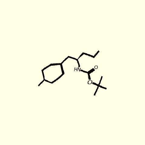 CCC[C@H](CC1CCC(C)CC1)NC(=O)OC(C)(C)C